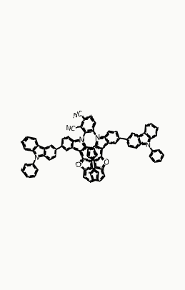 N#Cc1ccc(-n2c3ccc(-c4ccc5c(c4)c4ccccc4n5-c4ccccc4)cc3c3c4oc5ccccc5c4ccc32)c(-n2c3ccc(-c4ccc5c(c4)c4ccccc4n5-c4ccccc4)cc3c3c4oc5ccccc5c4ccc32)c1C#N